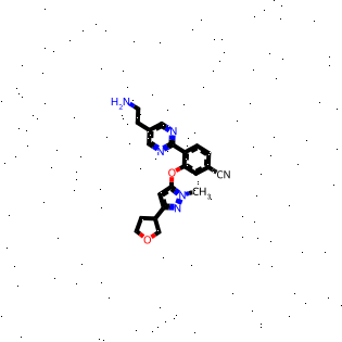 Cn1nc(C2CCOC2)cc1Oc1cc(C#N)ccc1-c1ncc(CCN)cn1